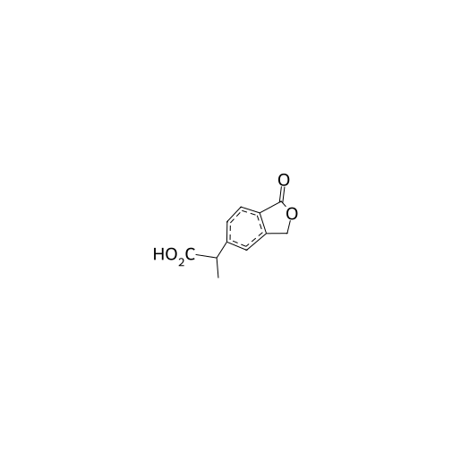 CC(C(=O)O)c1ccc2c(c1)COC2=O